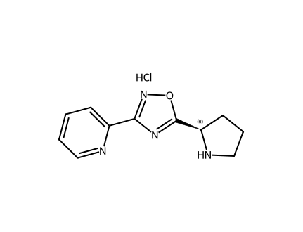 Cl.c1ccc(-c2noc([C@H]3CCCN3)n2)nc1